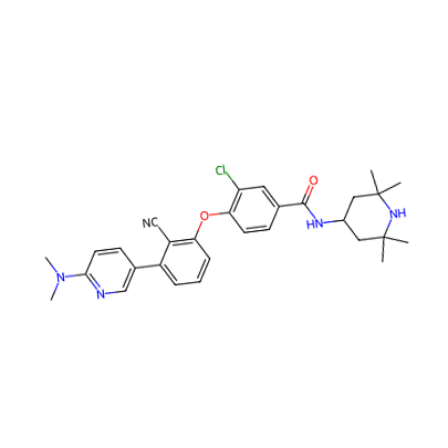 CN(C)c1ccc(-c2cccc(Oc3ccc(C(=O)NC4CC(C)(C)NC(C)(C)C4)cc3Cl)c2C#N)cn1